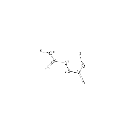 C=C(OC)SSC(=S)OC